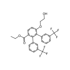 CCOC(=O)c1ccc(OCCO)c(-c2cccc(C(F)(F)F)c2)c1-c1cccc(C(F)(F)F)c1